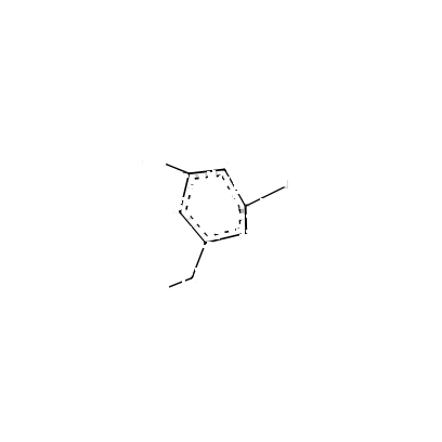 CCc1cc([CH]O)cc(C(F)(F)F)c1